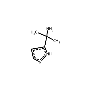 CC(C)(N)c1ccn[nH]1